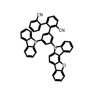 N#Cc1ccccc1-c1cccc(C#N)c1-c1cc(-n2c3ccccc3c3ccccc32)cc(-n2c3ccccc3c3c4oc5ccccc5c4ccc32)c1